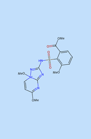 COC(=O)c1cccc(OC)c1S(=O)(=O)NC1=N[N+]2(OC)C=CC(OC)=NC2=N1